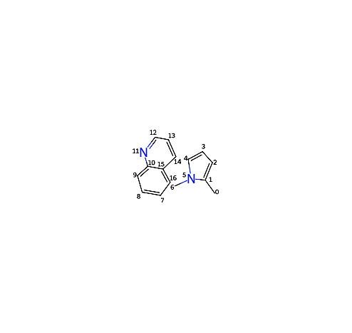 Cc1cccn1C.c1ccc2ncccc2c1